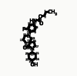 CCCOC(=O)Nc1ccc(N2CCC[C@@]3(CCN([C@H]4CC[C@H](O)CC4)C3=O)C2)c(F)c1